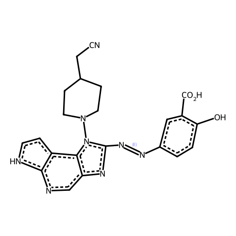 N#CCC1CCN(n2c(/N=N/c3ccc(O)c(C(=O)O)c3)nc3cnc4[nH]ccc4c32)CC1